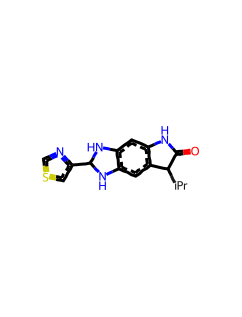 CC(C)C1C(=O)Nc2cc3c(cc21)NC(c1cscn1)N3